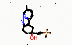 Cc1ccc2c3c(nn2c1)CCC(O)(C#CS(C)(C)C)C3